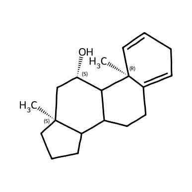 C[C@@]12CCCC1C1CCC3=CCC=C[C@]3(C)C1[C@@H](O)C2